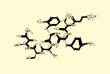 CCCC[C@H](NC(=O)[C@H](CC(C)C)NC(=O)[C@@H](NC(=O)[C@H](Cc1ccccc1C)NC(=O)[C@@H](Cc1ccc([N+](=O)[O-])cc1)NC(=O)[C@@H](CC(=O)O)NC(=O)CCC(=O)O)C(C)(C)C)C(=O)C(N)=O